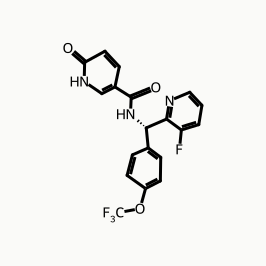 O=C(N[C@@H](c1ccc(OC(F)(F)F)cc1)c1ncccc1F)c1ccc(=O)[nH]c1